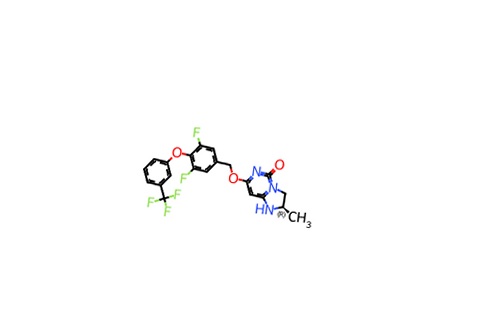 C[C@@H]1Cn2c(cc(OCc3cc(F)c(Oc4cccc(C(F)(F)F)c4)c(F)c3)nc2=O)N1